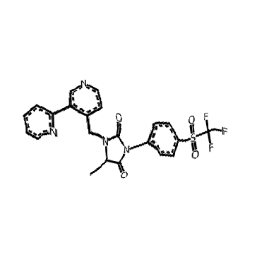 CC1C(=O)N(c2ccc(S(=O)(=O)C(F)(F)F)cc2)C(=O)N1Cc1ccncc1-c1ccccn1